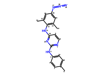 Cc1ccc(Nc2nccc(Nc3c(C)cc(N=[N+]=[N-])cc3C)n2)cc1